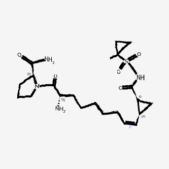 CC1(S(=O)(=O)NC(=O)[C@H]2C[C@H]2/C=C\CCCCC[C@H](N)C(=O)N2CCC[C@H]2C(N)=O)CC1